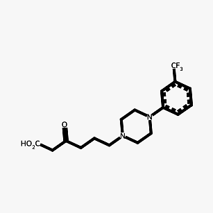 O=C(O)CC(=O)CCCN1CCN(c2cccc(C(F)(F)F)c2)CC1